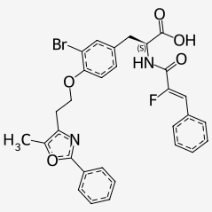 Cc1oc(-c2ccccc2)nc1CCOc1ccc(C[C@H](NC(=O)C(F)=Cc2ccccc2)C(=O)O)cc1Br